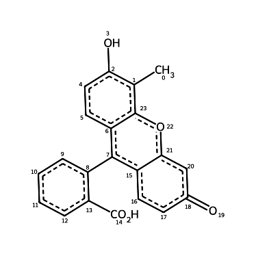 Cc1c(O)ccc2c(-c3ccccc3C(=O)O)c3ccc(=O)cc-3oc12